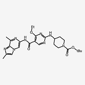 CCOc1nc(NC2CCN(C(=O)OC(C)(C)C)CC2)ncc1C(=O)Nc1cn2cc(C)nc2c(C)n1